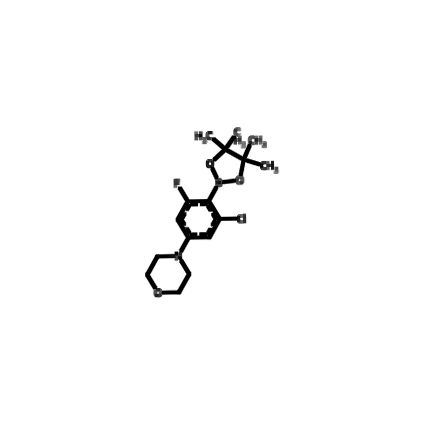 CC1(C)OB(c2c(F)cc(N3CCOCC3)cc2Cl)OC1(C)C